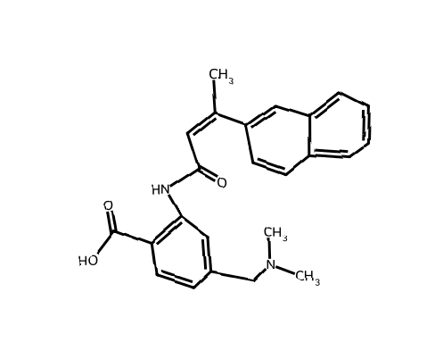 C/C(=C/C(=O)Nc1cc(CN(C)C)ccc1C(=O)O)c1ccc2ccccc2c1